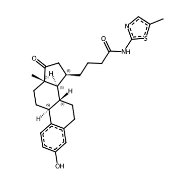 Cc1cnc(NC(=O)CCC[C@@H]2CC(=O)[C@@]3(C)CC[C@@H]4c5ccc(O)cc5CC[C@H]4[C@H]23)s1